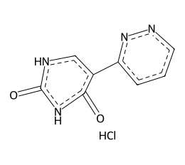 Cl.O=c1[nH]cc(-c2cccnn2)c(=O)[nH]1